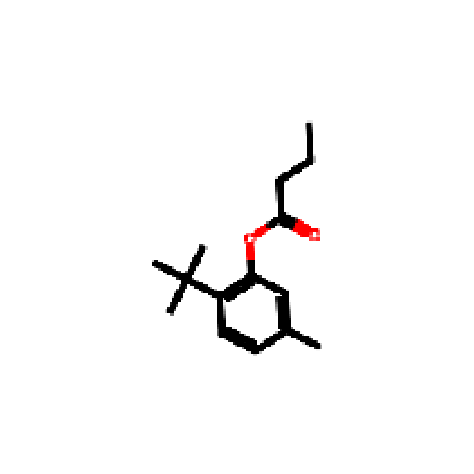 CCCC(=O)Oc1cc(C)ccc1C(C)(C)C